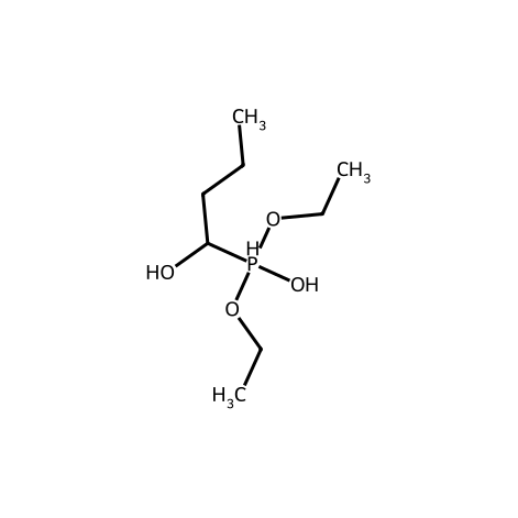 CCCC(O)[PH](O)(OCC)OCC